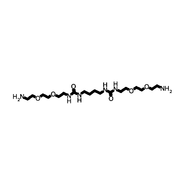 NCCOCCOCCNC(=O)NCCCCNC(=O)NCCOCCOCCN